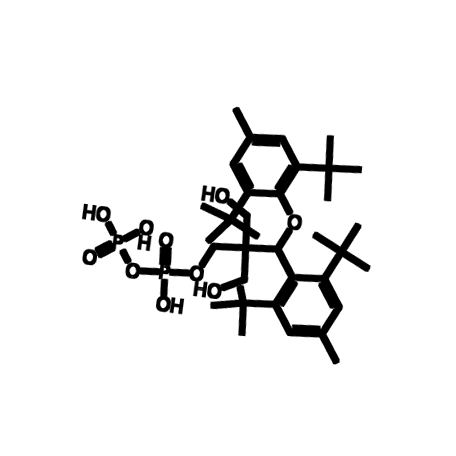 Cc1cc(C(C)(C)C)c(OC(c2c(C(C)(C)C)cc(C)cc2C(C)(C)C)C(CO)(CO)COP(=O)(O)OP(=O)(O)O)c(C(C)(C)C)c1